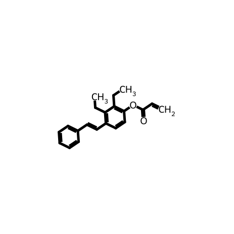 C=CC(=O)Oc1ccc(C=Cc2ccccc2)c(CC)c1CC